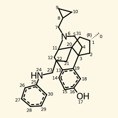 C[C@@H]1CC23CCN(CC4CC4)C(Cc4ccc(O)cc42)C3(CCCNc2ccccc2)C1